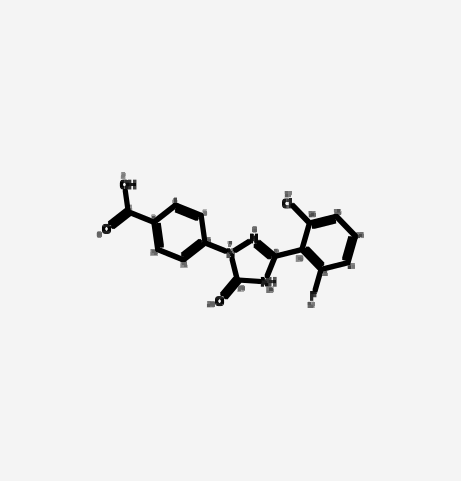 O=C(O)c1ccc(-n2nc(-c3c(F)cccc3Cl)[nH]c2=O)cc1